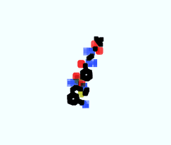 CC(C)(C)OC(=O)NCCNC(=O)c1cccc(S(=O)(=O)NC(Cc2cccc(C#N)c2)c2nccs2)c1